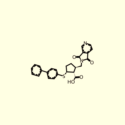 O=C(O)[C@H]1[C@H](CN2C(=O)c3ccncc3C2=O)CC[C@@H]1Sc1ccc(-c2ccccc2)cc1